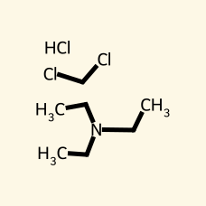 CCN(CC)CC.Cl.ClCCl